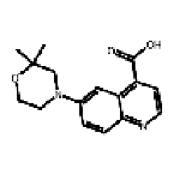 CC1(C)CN(c2ccc3nccc(C(=O)O)c3c2)CCO1